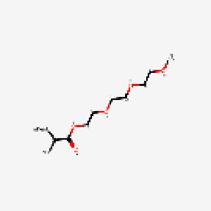 CCCCCC(CCC)C(=O)OCCOCCOCCOCCCC